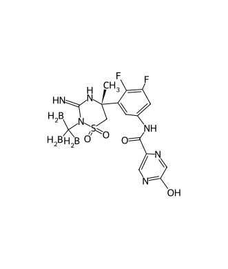 BC(B)(B)N1C(=N)N[C@](C)(c2cc(NC(=O)c3cnc(O)cn3)cc(F)c2F)CS1(=O)=O